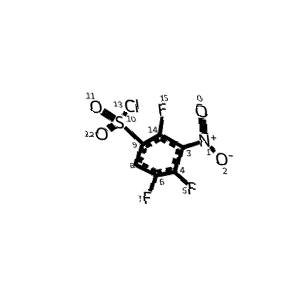 O=[N+]([O-])c1c(F)c(F)cc(S(=O)(=O)Cl)c1F